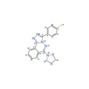 Fc1ccc(-c2nnc3c4ccccc4c(N4CCCC4)nn23)cc1